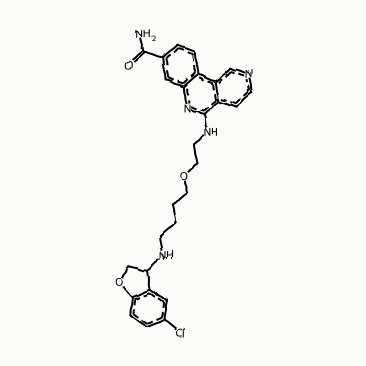 NC(=O)c1ccc2c(c1)nc(NCCOCCCCNC1COc3ccc(Cl)cc31)c1ccncc12